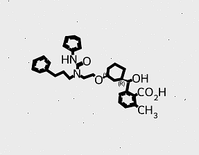 Cc1cccc(C(O)[C@@H]2CCC[C@H](OCCN(CCCc3ccccc3)C(=O)Nc3ccccc3)C2)c1C(=O)O